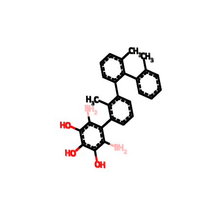 Bc1c(O)c(O)c(O)c(B)c1-c1cccc(-c2cccc(C)c2-c2ccccc2C)c1C